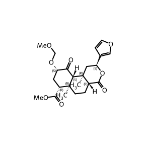 COCO[C@H]1C[C@@H](C(=O)OC)[C@]2(C)CC[C@H]3C(=O)O[C@H](c4ccoc4)C[C@]3(C)[C@H]2C1=O